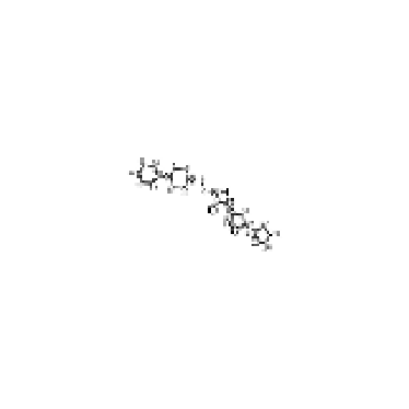 O=C(NCCN1CCN(c2ccccc2)CC1)Oc1cc(-c2ccco2)on1